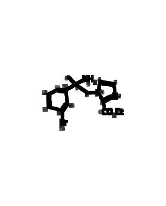 CCOC(=O)c1nccn1CC(C)(N)c1cccc(Br)c1